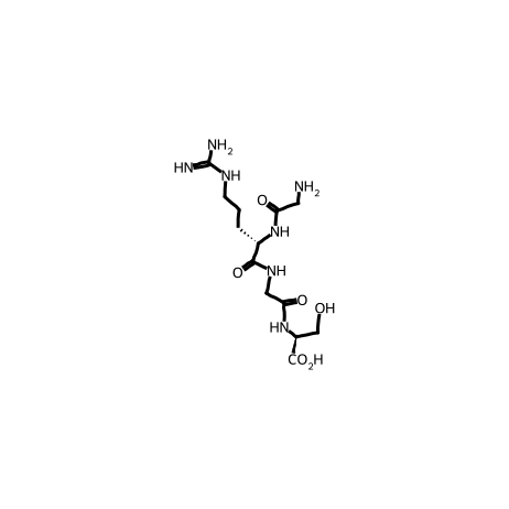 N=C(N)NCCC[C@H](NC(=O)CN)C(=O)NCC(=O)N[C@@H](CO)C(=O)O